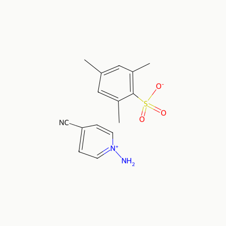 Cc1cc(C)c(S(=O)(=O)[O-])c(C)c1.N#Cc1cc[n+](N)cc1